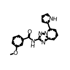 COc1cccc(C(=O)Nc2nc3cccc(-c4ccc[nH]4)n3n2)c1